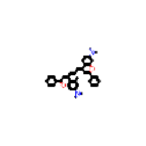 Cc1cc(N(C)C)ccc1C(=C\C(=O)c1ccccc1)/C=C/C=C1\C=C(c2ccccc2)Oc2cc(N(C)C)ccc21